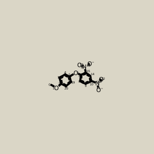 COc1ccc(Oc2ccc([N+](=O)[O-])cc2[N+](=O)[O-])cc1